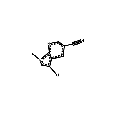 Cn1cc(Cl)c2cc(C#N)cnc21